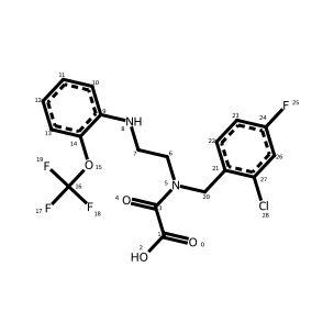 O=C(O)C(=O)N(CCNc1ccccc1OC(F)(F)F)Cc1ccc(F)cc1Cl